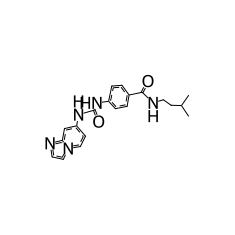 CC(C)CCNC(=O)c1ccc(NC(=O)Nc2ccn3ccnc3c2)cc1